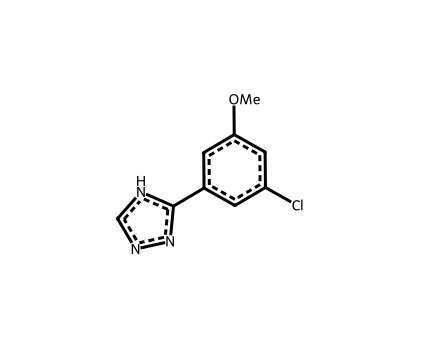 COc1cc(Cl)cc(-c2nnc[nH]2)c1